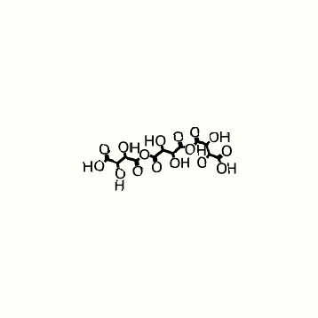 O=C(O)C(O)C(O)C(=O)OC(=O)C(O)C(O)C(=O)OC(=O)C(O)C(O)C(=O)O